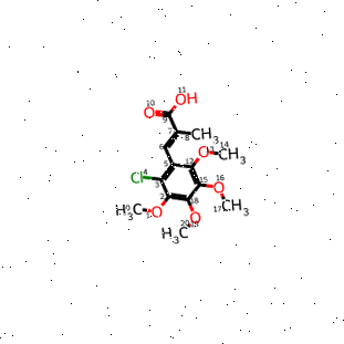 COc1c(Cl)c(/C=C(\C)C(=O)O)c(OC)c(OC)c1OC